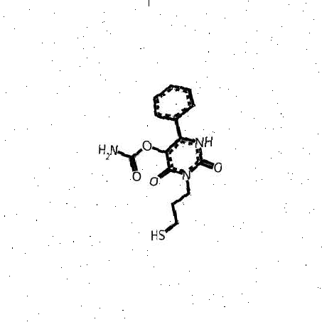 NC(=O)Oc1c(-c2ccccc2)[nH]c(=O)n(CCCS)c1=O